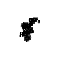 O=C(N[C@@H](CCCSCC(=O)C(F)(F)F)C(=O)NCC(O)c1ccccc1)c1ncc[nH]1